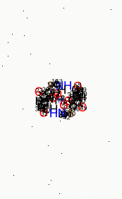 C[C@]12C(OC(=O)/C=C/C(=O)OC3CC(S[C@@H]4CCNC4)CC4C(=O)C[C@@H]5[C@@H](CC[C@]6(C)C(=O)CC[C@@H]56)[C@@]34C)CC(S[C@@H]3CCNC3)CC1C(=O)C[C@@H]1[C@H]2CC[C@]2(C)C(=O)CC[C@@H]12